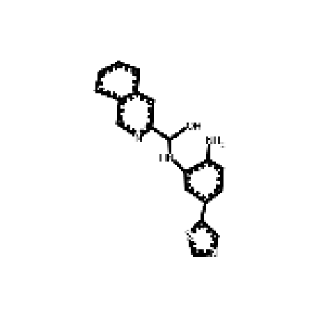 Nc1ccc(-c2cncs2)cc1NC(O)c1cc2ccccc2cn1